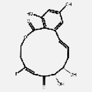 O=C1OCC/C(F)=C\C(=O)[C@@H](O)[C@@H](O)C/C=C/c2cc(O)cc(O)c21